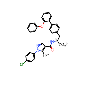 CCCc1c(C(=O)N[C@@H](Cc2ccc(-c3ccccc3Oc3ccccc3)cc2)C(=O)O)cnn1-c1ccc(Cl)cc1